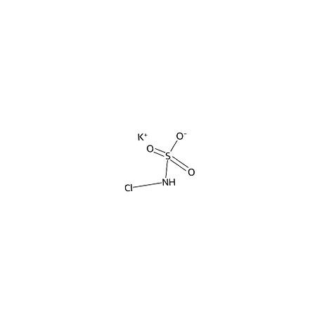 O=S(=O)([O-])NCl.[K+]